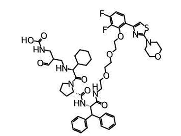 O=CC(CNC(=O)O)CN[C@H](C(=O)N1CCC[C@H]1C(=O)N[C@H](C(=O)NCCOCCOCCOc1c(-c2csc(N3CCOCC3)n2)ccc(F)c1F)C(c1ccccc1)c1ccccc1)C1CCCCC1